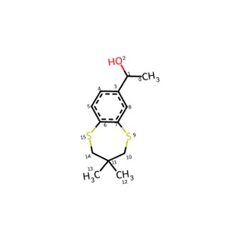 CC(O)c1ccc2c(c1)SCC(C)(C)CS2